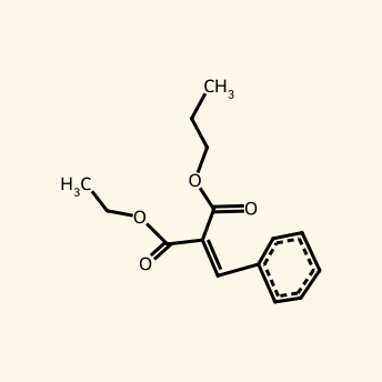 CCCOC(=O)C(=Cc1ccccc1)C(=O)OCC